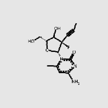 CC#C[C@@]1(F)C(O)[C@@H](CO)O[C@H]1n1c(C)cc(N)nc1=O